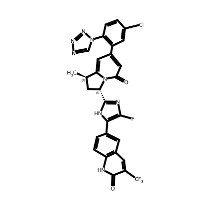 C[C@@H]1C[C@@H](c2nc(F)c(-c3ccc4[nH]c(=O)c(C(F)(F)F)cc4c3)[nH]2)n2c1cc(-c1cc(Cl)ccc1-n1cnnn1)cc2=O